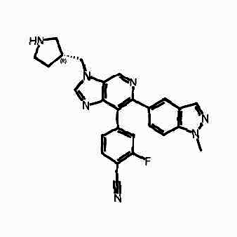 Cn1ncc2cc(-c3ncc4c(ncn4C[C@@H]4CCNC4)c3-c3ccc(C#N)c(F)c3)ccc21